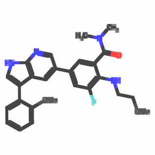 COCCNc1c(F)cc(-c2cnc3[nH]cc(-c4ccccc4OC)c3c2)cc1C(=O)N(C)C